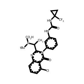 CC(c1nc2cccc(Cl)c2c(=O)n1-c1cccc(NC(=O)NC2(C(F)(F)F)CC2)c1)N(C(=O)O)C(C)(C)C